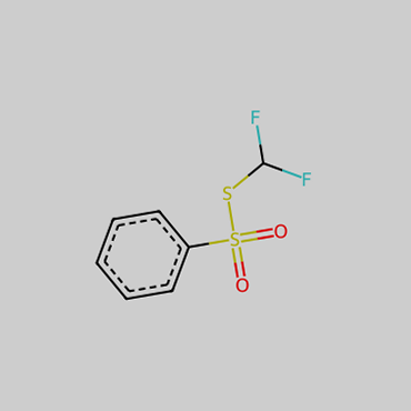 O=S(=O)(SC(F)F)c1ccccc1